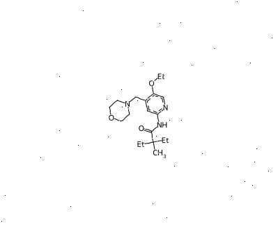 CCOc1cnc(NC(=O)C(C)(CC)CC)cc1CN1CCOCC1